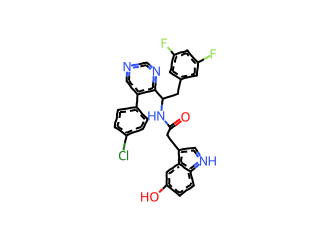 O=C(Cc1c[nH]c2ccc(O)cc12)NC(Cc1cc(F)cc(F)c1)c1ncncc1-c1ccc(Cl)cc1